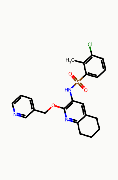 Cc1c(Cl)cccc1S(=O)(=O)Nc1cc2c(nc1OCc1cccnc1)CCCC2